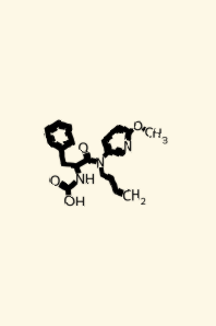 C=CCCN(C(=O)C(Cc1ccccc1)NC(=O)O)c1ccc(OC)nc1